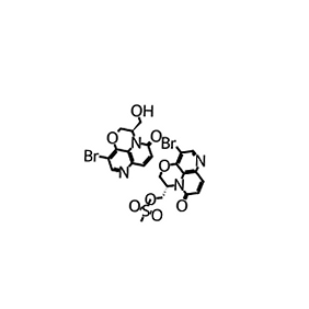 CS(=O)(=O)OC[C@@H]1COc2c(Br)cnc3ccc(=O)n1c23.O=c1ccc2ncc(Br)c3c2n1[C@H](CO)CO3